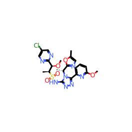 COc1cccc(-c2nnc(NS(=O)(=O)[C@@H](C)[C@H](OC)c3ncc(Cl)cn3)n2[C@H](C)c2ncc(C)o2)n1